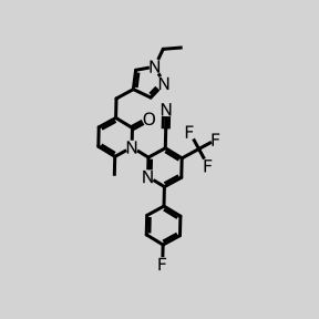 CCn1cc(Cc2ccc(C)n(-c3nc(-c4ccc(F)cc4)cc(C(F)(F)F)c3C#N)c2=O)cn1